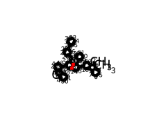 CC1(C)c2ccccc2-c2cc(-c3ccccc3-c3ccccc3N(c3cccc(-c4ccccc4)c3)c3cccc(-c4cccc5oc6ccccc6c45)c3)ccc21